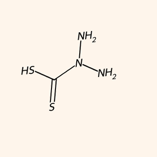 NN(N)C(=S)S